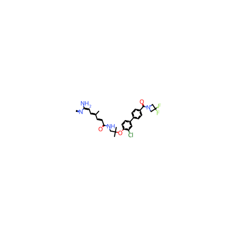 C=N\C(N)=C/C=C(C)/C=C/C(=O)NCC(C)(C)Oc1ccc(-c2ccc(C(=O)N3CC(F)(F)C3)cc2)cc1Cl